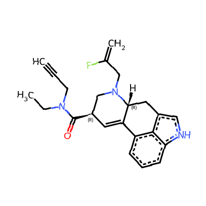 C#CCN(CC)C(=O)[C@@H]1C=C2c3cccc4[nH]cc(c34)C[C@H]2N(CC(=C)F)C1